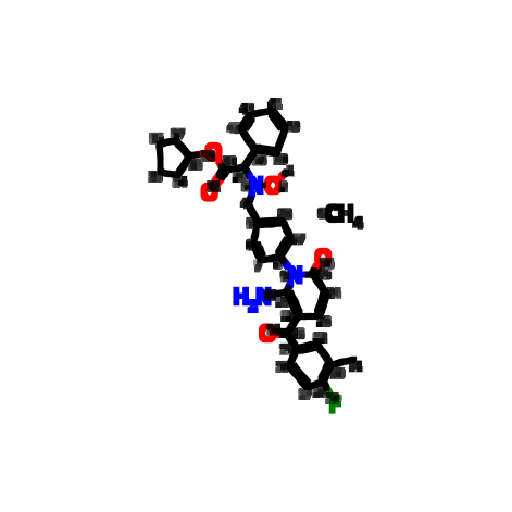 C.CON(Cc1ccc(-n2c(N)c(C(=O)c3ccc(F)c(C)c3)ccc2=O)cc1)C(C(=O)OC1CCCC1)c1ccccc1